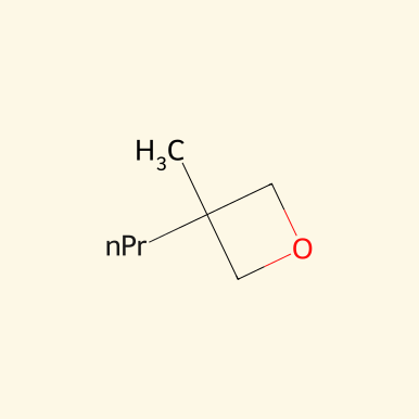 CCCC1(C)COC1